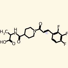 CC(NC(=O)C1CCN(C(=O)/C=C/c2ccc(F)c(F)c2F)CC1)C(=O)O